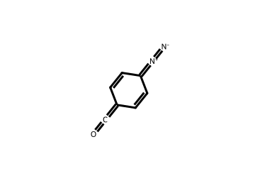 [N-]=[N+]=C1C=CC(=C=O)C=C1